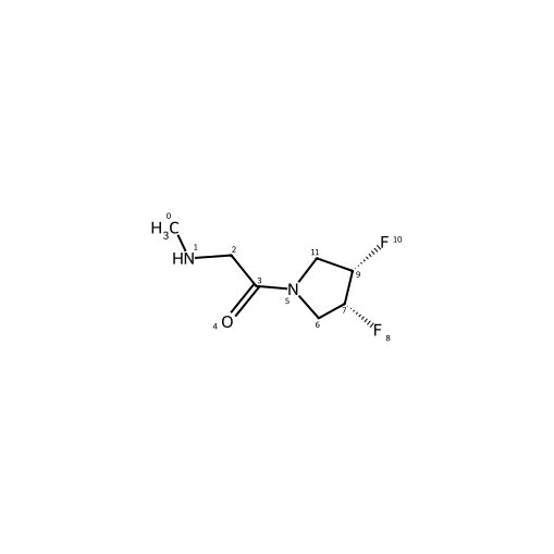 CNCC(=O)N1C[C@@H](F)[C@@H](F)C1